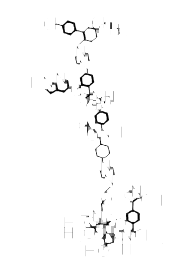 Cc1ncsc1-c1ccc([C@H](C)NC(=O)[C@@H]2C[C@@H](O)CN2C(=O)[C@@H](NCCOCCN2CCN(C3CCC(CNc4ccc(S(=O)(=O)NC(=O)c5ccc(N6CCN(CC7=C(c8ccc(Cl)cc8)CC(C)(C)CC7)CC6)cc5Oc5cnc6[nH]ccc6c5)cc4[N+](=O)[O-])CC3)CC2)C(C)(C)C)cc1